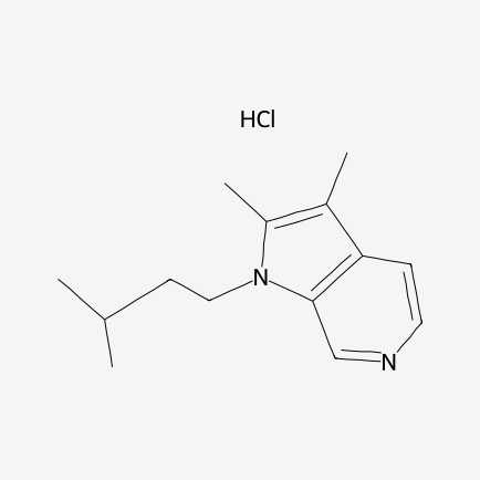 Cc1c(C)n(CCC(C)C)c2cnccc12.Cl